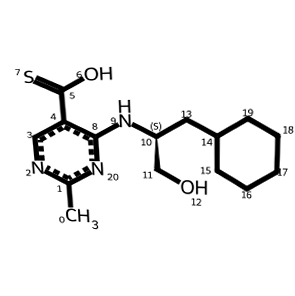 Cc1ncc(C(O)=S)c(N[C@H](CO)CC2CCCCC2)n1